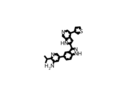 CC(C)c1ncc(-c2ccc3[nH]nc(-c4cc5c(-c6ccsc6)cncc5[nH]4)c3c2)cc1N